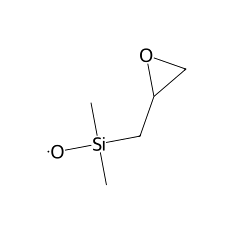 C[Si](C)([O])CC1CO1